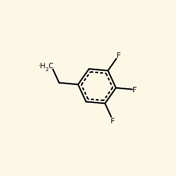 [CH2]Cc1cc(F)c(F)c(F)c1